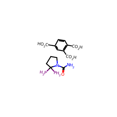 NC(=O)N1CCCC1(P)P.O=C(O)c1ccc(C(=O)O)c(C(=O)O)c1